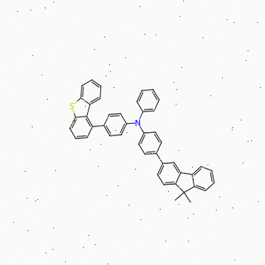 CC1(C)c2ccccc2-c2cc(-c3ccc(N(c4ccccc4)c4ccc(-c5cccc6sc7ccccc7c56)cc4)cc3)ccc21